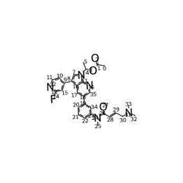 CC(=O)OC(C)n1cc(-c2ccnc(F)c2)c2cc(-c3cccc(N(C)C(=O)C=CCN(C)C)c3)cnc21